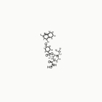 Cc1cc(COc2ccc(S(=O)(=O)C[C@@H]3CN(CC(C)C)CC[C@@H]3C(=O)NO)cc2)c2ccccc2n1